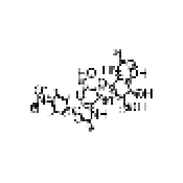 CC(=O)N[C@H]1[C@H](Oc2ccc([N+](=O)[O-])cc2)O[C@H](CO)[C@@H](O[C@@H]2O[C@H](CO)[C@@H](O)[C@H](O)[C@H]2NC(C)=O)[C@@H]1O